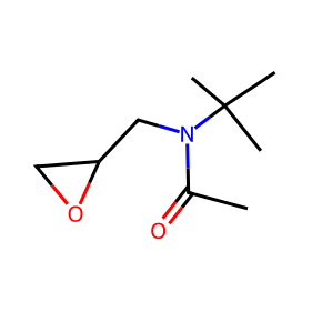 CC(=O)N(CC1CO1)C(C)(C)C